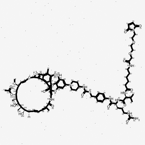 CO[C@H]1/C=C/O[C@@]2(C)Oc3c(C)c(O)c4c(=O)c(c5oc6cc(N7CCC(NC(=O)OCc8ccc(NC(=O)[C@H](CCCNC(N)=O)NC(=O)[C@@H](NC(=O)CCCCCNC(=O)COCCOCCN9C(=O)C=CC9=O)C(C)C)cc8)CC7)cc(O)c6nc-5c4c3C2=O)NC(=O)/C(C)=C\C=C\[C@H](C)[C@H](O)[C@@H](C)[C@@H](O)[C@@H](C)[C@H](OC(C)=O)[C@@H]1C